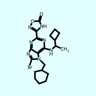 CC(Nc1nc(-c2noc(=O)[nH]2)nc2nc(Br)n(CC3CCCCC3)c12)C1CCC1